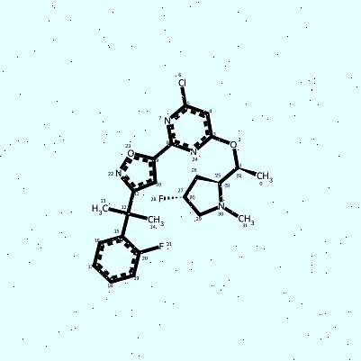 C[C@H](Oc1cc(Cl)nc(-c2cc(C(C)(C)c3ccccc3F)no2)n1)[C@@H]1C[C@@H](F)CN1C